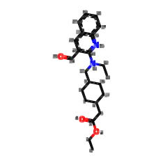 CCOC(=O)CC1CCC(CN(CC)c2nc3ccccc3cc2C=O)CC1